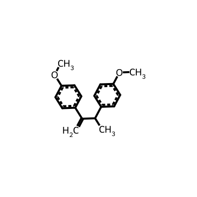 C=C(c1ccc(OC)cc1)C(C)c1ccc(OC)cc1